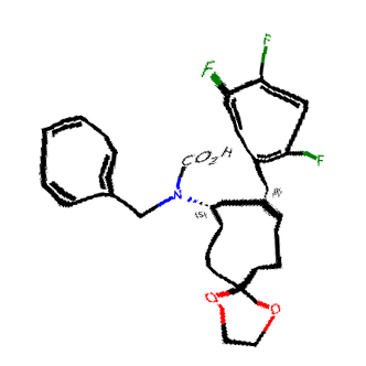 O=C(O)N(Cc1ccccc1)[C@H]1CC2(CC[C@@H]1c1cc(F)c(F)cc1F)OCCO2